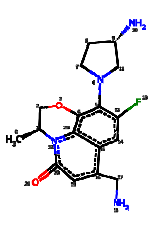 C[C@H]1COc2c(N3CC[C@H](N)C3)c(F)cc3c(CN)cc(=O)n1c23